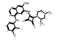 COc1cc2ncnc(Nc3cccc(Cl)c3F)c2cc1Nc1c(N2CCN(C)C[C@H]2C)c(=O)c1=O